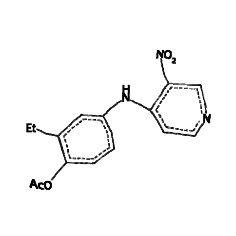 CCc1cc(Nc2ccncc2[N+](=O)[O-])ccc1OC(C)=O